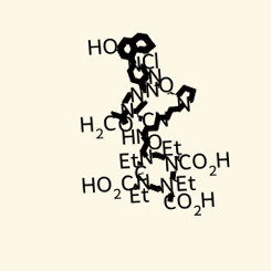 C=CC(=O)N1CCN(c2nc(OC[C@@H]3CCCN3CCCCCCNC(=O)CN3C[C@H](CC)N(CC(=O)O)C[C@H](CC)N(CC(=O)O)C[C@H](CC)N(CC(=O)O)C[C@@H]3CC)nc3c2CCN(c2cc(O)cc4cccc(Cl)c24)C3)C[C@@H]1CC#N